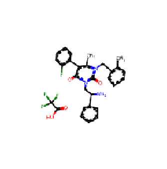 Cc1ccccc1Cn1c(C)c(-c2ccccc2F)c(=O)n(CC(N)c2ccccc2)c1=O.O=C(O)C(F)(F)F